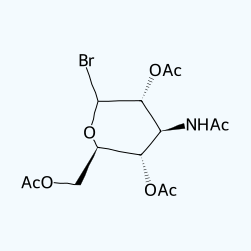 CC(=O)N[C@H]1[C@H](OC(C)=O)[C@@H](COC(C)=O)OC(Br)[C@@H]1OC(C)=O